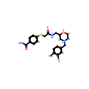 NC(=O)c1ccc(SCC(=O)NCC2CN(Cc3ccc(Cl)c(Cl)c3)CCO2)cc1